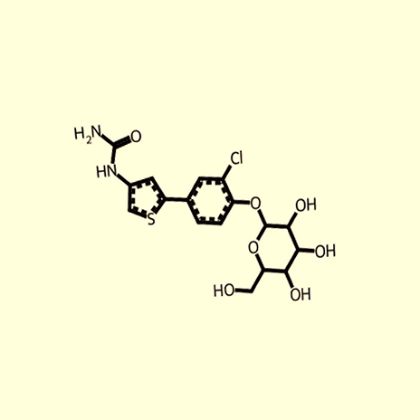 NC(=O)Nc1csc(-c2ccc(OC3OC(CO)C(O)C(O)C3O)c(Cl)c2)c1